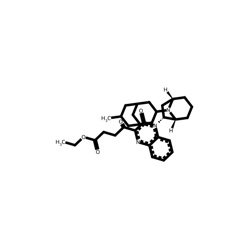 CCOC(=O)CCC(=O)c1nc2ccccc2n([C@@H]2C[C@@H]3CCC[C@H]2N3C2CC3CC(C)CC(C3)C2)c1=O